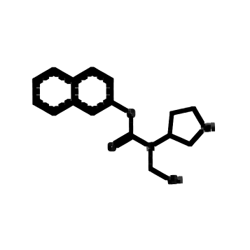 CC(C)(C)CN(C(=O)Oc1ccc2ccccc2c1)C1CCNC1